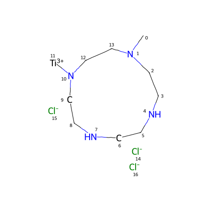 CN1CCNCCNCC[N]([Ti+3])CC1.[Cl-].[Cl-].[Cl-]